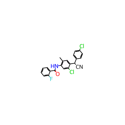 Cc1cc(C(C#N)c2ccc(Cl)cc2)c(Cl)cc1NC(=O)c1ccccc1F